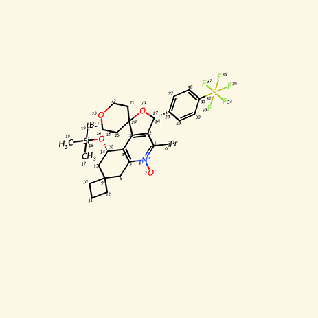 CC(C)c1c2c(c3c([n+]1[O-])CC1(CCC1)C[C@@H]3O[Si](C)(C)C(C)(C)C)C1(CCOCC1)O[C@@H]2c1ccc(S(F)(F)(F)(F)F)cc1